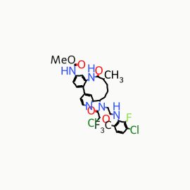 COC(=O)Nc1ccc2c(c1)NC(=O)[C@H](C)CCC[C@H](N(CC(=O)Nc1c(C(F)(F)F)ccc(Cl)c1F)C(=O)CCl)c1cc-2ccn1